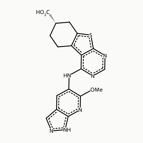 COc1nc2[nH]ncc2cc1Nc1ncnc2sc3c(c12)CC[C@H](C(=O)O)C3